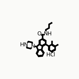 CCCCNC(=O)c1cc(-c2cccc(C)c2C)c2c(c1)C(N1CCNCC1)c1ccccc1-2.Cl